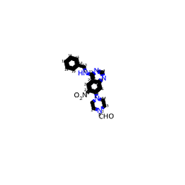 O=CN1CCN(c2cc3ncnc(NCc4ccccc4)c3cc2[N+](=O)[O-])CC1